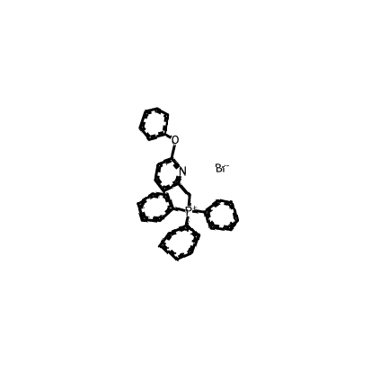 [Br-].c1ccc(Oc2cccc(C[P+](c3ccccc3)(c3ccccc3)c3ccccc3)n2)cc1